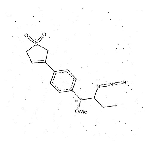 CO[C@H](c1ccc(C2=CCS(=O)(=O)C2)cc1)C(CF)N=[N+]=[N-]